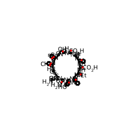 CCCC[C@H]1C(=O)N2C[C@H](O)C[C@@H]2C(=O)N[C@@H](CC(=O)O)C(=O)N[C@@H](C(C)C)C(=O)N(C)C(Cc2ccccc2)C(=O)N[C@@H](CCC(=O)O)C(=O)N[C@H](CNCC)C(=O)N[C@@H](Cc2c[nH]c3ccccc23)C(=O)N[C@@H](Cc2ccc(O)cc2)C(=O)N[C@@H](CCCN)C(=O)N[C@H](C(=O)NCC(N)=O)CSCC(=O)N[C@@H](Cc2cccc(Cl)c2)C(=O)N(C)[C@@H](Cc2ccccc2)C(=O)N1C